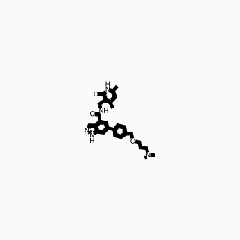 Cc1cc(C)c(CNC(=O)c2cc(-c3ccc(COCCCN(C)C)cc3)cc3[nH]ncc23)c(=O)[nH]1